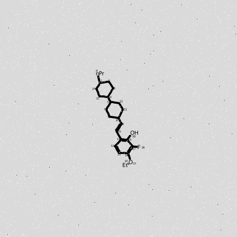 CCCC1CCC(C2CCC(/C=C/c3ccc(OCC)c(F)c3O)CC2)CC1